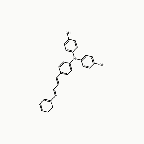 Oc1ccc(N(c2ccc(O)cc2)c2ccc(/C=C/C=C/C3=CC=CCC3)cc2)cc1